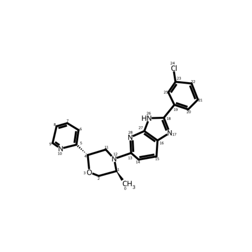 C[C@H]1CO[C@H](c2ccccn2)CN1c1ccc2nc(-c3cccc(Cl)c3)[nH]c2n1